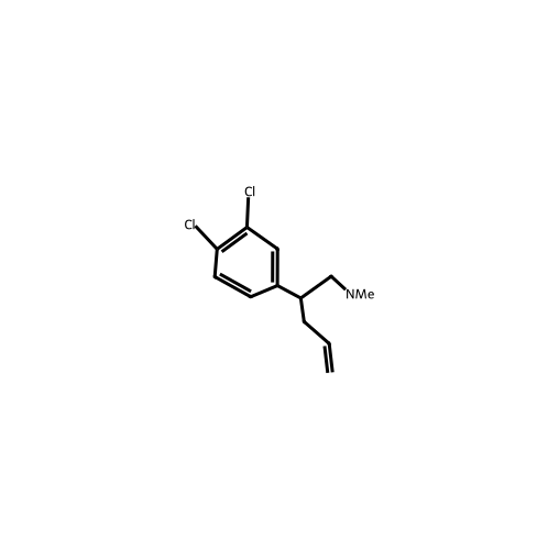 C=CCC(CNC)c1ccc(Cl)c(Cl)c1